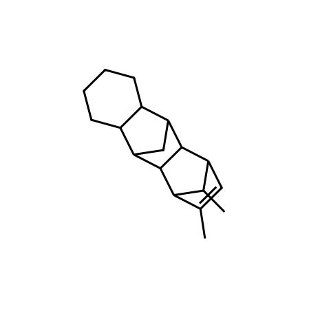 CC1=CC2C(C)C1C1C3CC(C4CCCCC43)C21